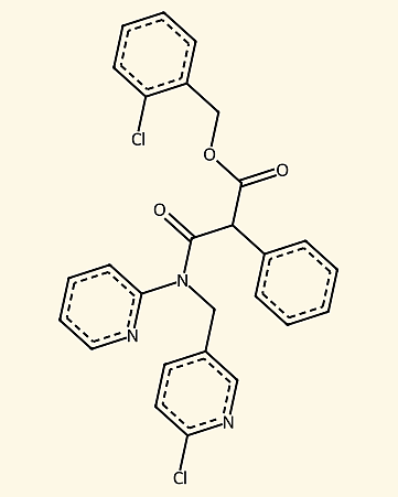 O=C(OCc1ccccc1Cl)C(C(=O)N(Cc1ccc(Cl)nc1)c1ccccn1)c1ccccc1